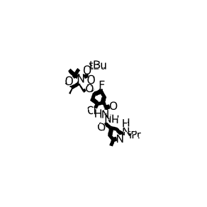 Cc1cc(C(=O)NNC(=O)c2cc(F)c(OC[C@H]3[C@@H](C)OC(C)(C)N3C(=O)OC(C)(C)C)cc2Cl)cc(NC(C)C)n1